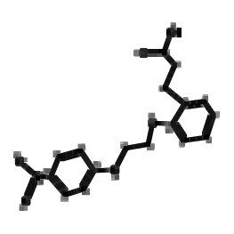 O=C(O)CCc1ccccc1OCCOc1ccc([N+](=O)[O-])cc1